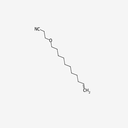 C=CCCCCCCCCCOCCC#N